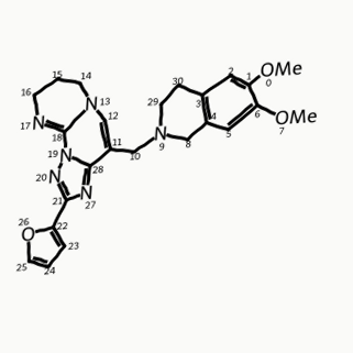 COc1cc2c(cc1OC)CN(CC1=CN3CCCN=C3n3nc(-c4ccco4)nc31)CC2